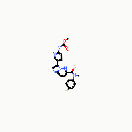 COC(=O)Nc1ccc(-c2cnc3ccc(C(=O)N(C)c4ccc(F)cc4)nn23)cn1